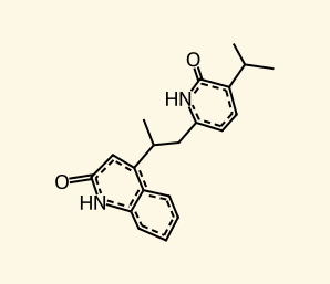 CC(C)c1ccc(CC(C)c2cc(=O)[nH]c3ccccc23)[nH]c1=O